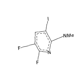 CNc1nc(F)c(F)cc1I